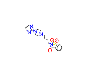 O=C1C2C3C=CC(CC3)C2S(=O)(=O)N1CCCCN1CCN(c2ncccn2)CC1